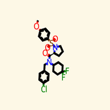 COc1ccc(S(=O)(=O)N2CCC[C@H]2C(=O)N(Cc2ccc(Cl)cc2)C2CCC(F)(F)CC2)cc1